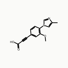 COc1cc(C#CC(=O)O)ccc1-n1cnc(C)c1